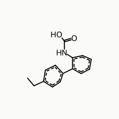 CCc1ccc(-c2ccccc2NC(=O)O)cc1